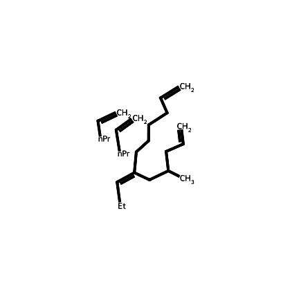 C=CCCC.C=CCCC.C=CCCCCC(=CCC)CC(C)CC=C